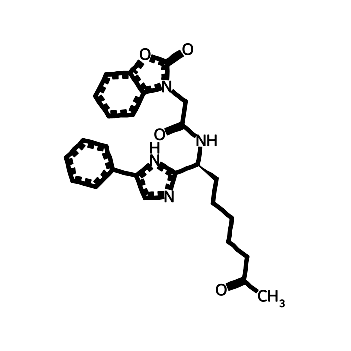 CC(=O)CCCCC[C@H](NC(=O)Cn1c(=O)oc2ccccc21)c1ncc(-c2ccccc2)[nH]1